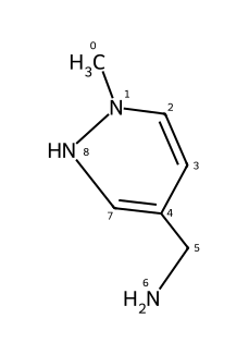 CN1C=CC(CN)=CN1